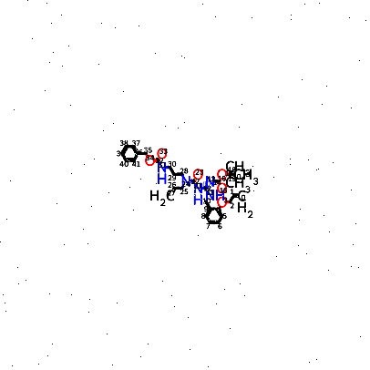 C=CCOc1ccccc1CN/C(=N\C(=O)OC(C)(C)C)NC(=O)N(CC=C)CCCNC(=O)OCc1ccccc1